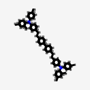 Cc1ccc(N(c2ccc(CCc3ccc(-c4ccc(CCc5ccc(N(c6ccc(C)cc6)c6ccc(C)cc6C)cc5)cc4)cc3)cc2)c2ccc(C)cc2C)cc1